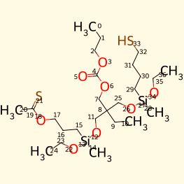 CCCOC(=O)OCC(CC)(CO[Si](C)(CCCOC(C)=S)OCC)CO[Si@@](C)(CCCCS)OCC